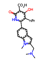 CCCc1c(-c2ccc3c(c2)cc(CN(C)C)n3C)[nH]c(=O)c(C(=O)O)c1O